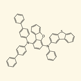 c1ccc(-c2ccc(N(c3ccc(-c4ccccc4)cc3)c3ccc(N(c4ccccc4)c4ccc5sc6ccccc6c5c4)c4oc5ccccc5c34)cc2)cc1